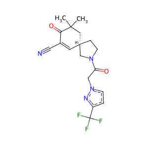 CC1(C)C[C@]2(C=C(C#N)C1=O)CCN(C(=O)Cn1ccc(C(F)(F)F)n1)C2